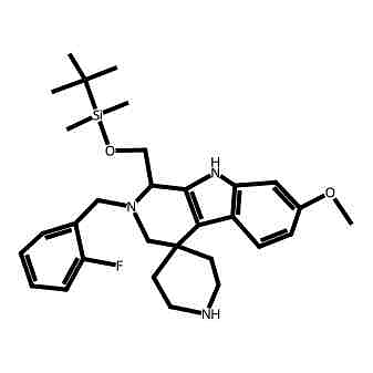 COc1ccc2c3c([nH]c2c1)C(CO[Si](C)(C)C(C)(C)C)N(Cc1ccccc1F)CC31CCNCC1